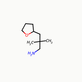 CC(C)(CN)CC1CCCO1